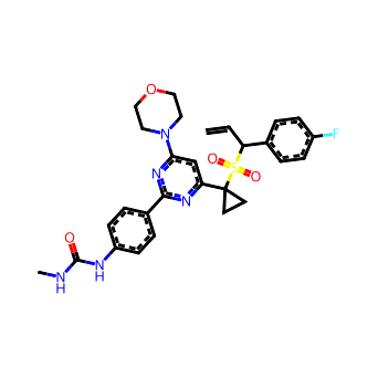 C=CC(c1ccc(F)cc1)S(=O)(=O)C1(c2cc(N3CCOCC3)nc(-c3ccc(NC(=O)NC)cc3)n2)CC1